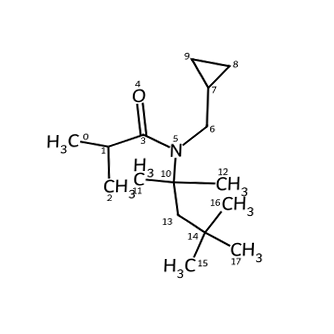 CC(C)C(=O)N(CC1CC1)C(C)(C)CC(C)(C)C